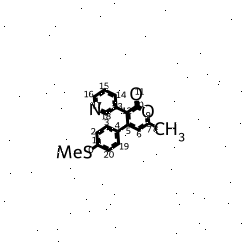 CSc1ccc(-c2cc(C)oc(=O)c2-c2cccnc2)cc1